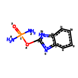 NP(N)(=O)Oc1nc2ccccc2[nH]1